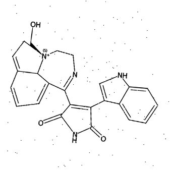 O=C1NC(=O)C(c2c[nH]c3ccccc23)=C1C1=NCC[N@@+]2(CO)CC=C3C=CC=C1C32